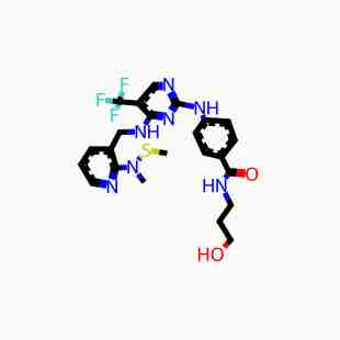 CSN(C)c1ncccc1CNc1nc(Nc2ccc(C(=O)NCCCO)cc2)ncc1C(F)(F)F